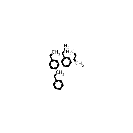 C=CC=C.C=Cc1ccccc1.C=Cc1ccccc1.C=Cc1ccccc1